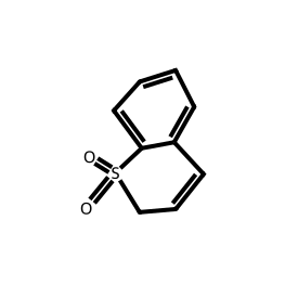 O=S1(=O)CC=Cc2ccccc21